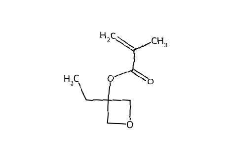 C=C(C)C(=O)OC1(CC)COC1